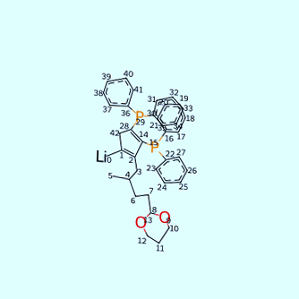 [Li][C]1=C(CC(C)CCC2OCCCO2)C(P(c2ccccc2)c2ccccc2)=C(P(c2ccccc2)c2ccccc2)C1